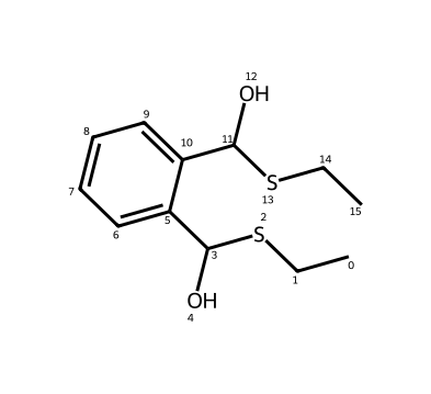 CCSC(O)c1ccccc1C(O)SCC